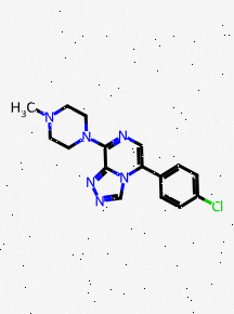 CN1CCN(c2ncc(-c3ccc(Cl)cc3)n3cnnc23)CC1